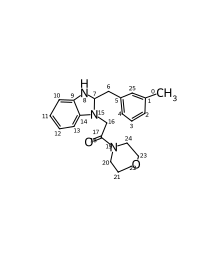 Cc1cccc(CC2Nc3ccccc3N2CC(=O)N2CCOCC2)c1